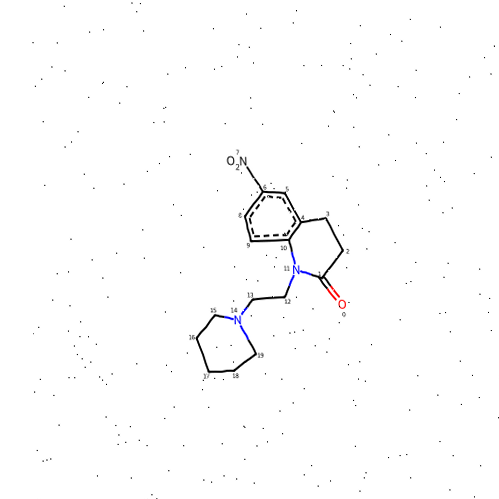 O=C1CCc2cc([N+](=O)[O-])ccc2N1CCN1CCCCC1